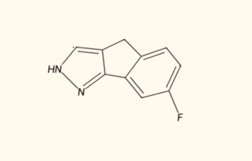 Fc1ccc2c(c1)-c1n[nH][c]c1C2